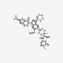 Cc1ncc(NC(=N)C2(C)CCN(c3nc4c(nc3CO)c(-c3ccc5nn(C6CC6)cc5c3Cl)nn4C3CCCCO3)CC2)cc1F